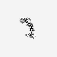 CC(C)(C)OC(=O)N1CCC(c2cnn3cc(B4OC(C)(C)C(C)(C)O4)cnc23)CC1